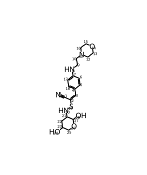 N#C/C(=C\c1ccc(NCCN2CCOCC2)cc1)SNC1CC(O)COC1O